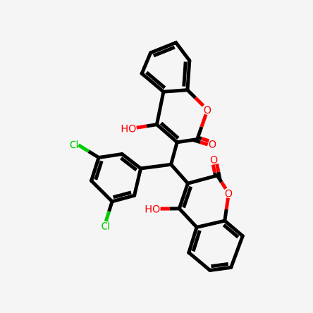 O=c1oc2ccccc2c(O)c1C(c1cc(Cl)cc(Cl)c1)c1c(O)c2ccccc2oc1=O